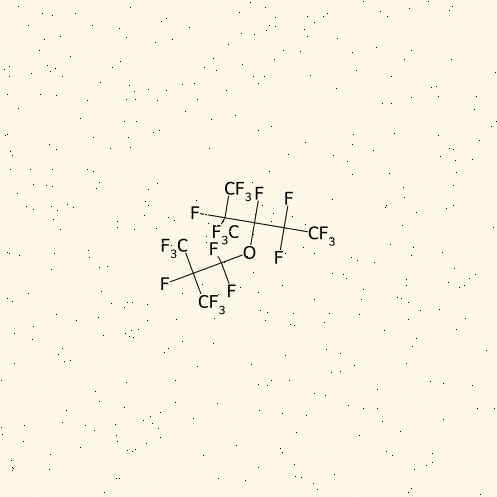 FC(F)(F)C(F)(F)C(F)(OC(F)(F)C(F)(C(F)(F)F)C(F)(F)F)C(F)(C(F)(F)F)C(F)(F)F